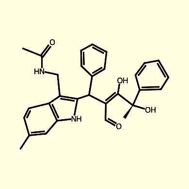 CC(=O)NCc1c(C(/C(C=O)=C(\O)[C@@](C)(O)c2ccccc2)c2ccccc2)[nH]c2cc(C)ccc12